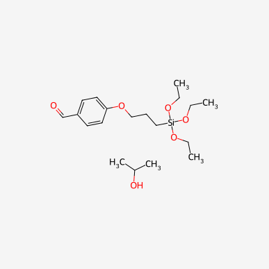 CC(C)O.CCO[Si](CCCOc1ccc(C=O)cc1)(OCC)OCC